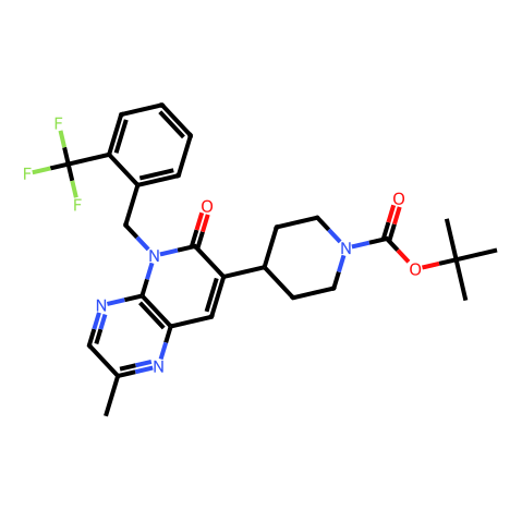 Cc1cnc2c(cc(C3CCN(C(=O)OC(C)(C)C)CC3)c(=O)n2Cc2ccccc2C(F)(F)F)n1